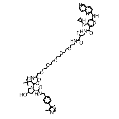 Cc1ncsc1-c1ccc(CNC(=O)[C@@H]2C[C@@H](O)CN2C(=O)[C@@H](NC(=O)COCCOCCOCCOCCOCCNC(=O)C(F)CNC(=O)c2cnc(Nc3ccc4cnccc4n3)cc2NC2CC2)C(C)(C)C)cc1